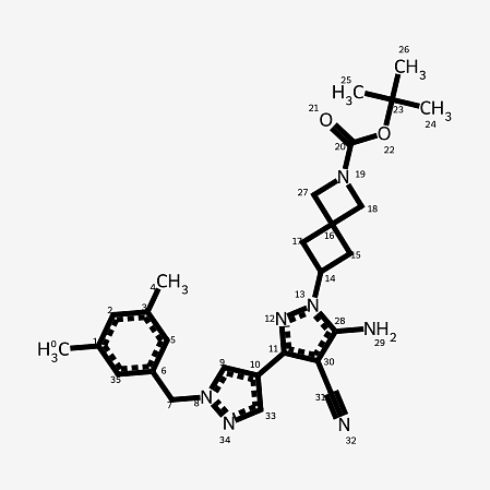 Cc1cc(C)cc(Cn2cc(-c3nn(C4CC5(C4)CN(C(=O)OC(C)(C)C)C5)c(N)c3C#N)cn2)c1